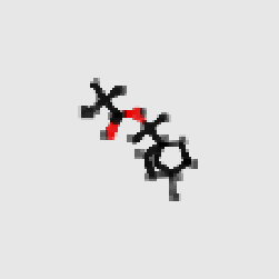 CCC(C)(C)C(=O)OC(C)(C)C12CCC(C)(CC1)C2